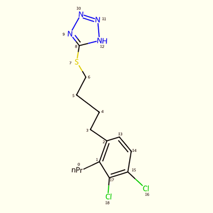 CCCc1c(CCCCSc2nnn[nH]2)ccc(Cl)c1Cl